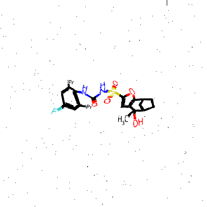 CC(C)c1cc(F)cc(C(C)C)c1NC(=O)NS(=O)(=O)c1cc2c(o1)C1CCC(C1)C2(C)O